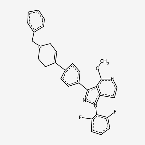 COc1nccc2c1c(-c1ccc(C3=CCN(Cc4ccccc4)CC3)cc1)nn2-c1c(F)cccc1F